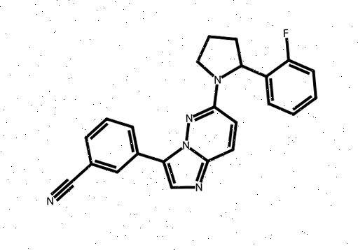 N#Cc1cccc(-c2cnc3ccc(N4CCCC4c4ccccc4F)nn23)c1